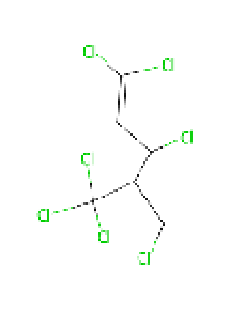 ClCC(C(Cl)C=C(Cl)Cl)C(Cl)(Cl)Cl